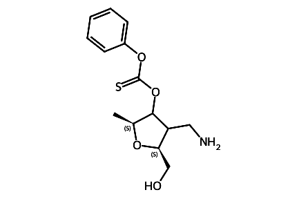 C[C@@H]1O[C@H](CO)C(CN)C1OC(=S)Oc1ccccc1